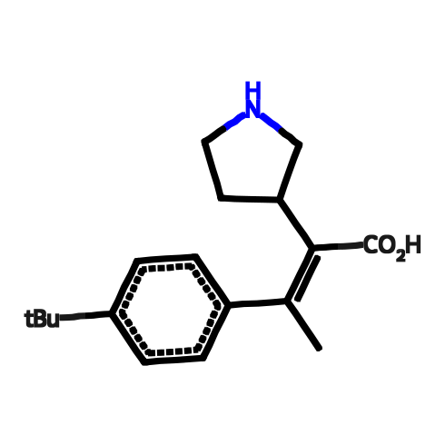 CC(=C(C(=O)O)C1CCNC1)c1ccc(C(C)(C)C)cc1